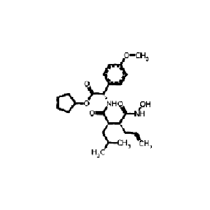 C=CC[C@H](C(=O)NO)[C@@H](CC(C)C)C(=O)N[C@H](C(=O)OC1CCCC1)c1ccc(OC)cc1